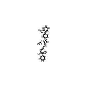 COC[C@@H]1[C@H](c2ccc(-c3ccccc3OC)cc2)CN1CCCCN(C)C(=O)c1ccncc1